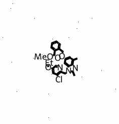 CCOc1cnc(Cn2c(C)nc3c(C)cc(OCc4ccccc4C(=O)OC)cc32)c(Cl)c1